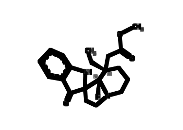 CC[C@@]1(CC(=O)OC)CCCN2CCC3(Nc4ccccc4C3=O)[C@@H]21